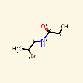 CCC(=O)NCC(C)Br